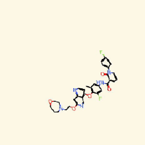 Cc1cc(NC(=O)c2cccn(-c3ccc(F)cc3)c2=O)cc(F)c1Oc1ccnc2cc(OCCN3CCCOCC3)ncc12